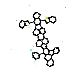 Fc1cc(F)cc(-c2c3cc4ccccc4c4c5ccccc5c(c5c6ccc7c8ccc9c%10c(ccc(c%11ccc(c25)c6c%117)c%108)-c2c-9c(-c5cc6ccccc6s5)c5ccccc5c2-c2cc5ccccc5s2)c34)c1